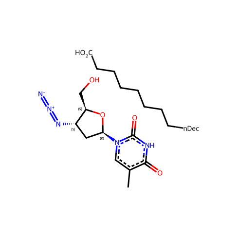 CCCCCCCCCCCCCCCCCC(=O)O.Cc1cn([C@H]2C[C@H](N=[N+]=[N-])[C@@H](CO)O2)c(=O)[nH]c1=O